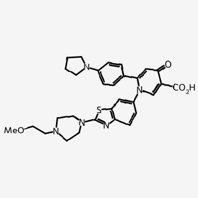 COCCN1CCN(c2nc3ccc(-n4cc(C(=O)O)c(=O)cc4-c4ccc(N5CCCC5)cc4)cc3s2)CC1